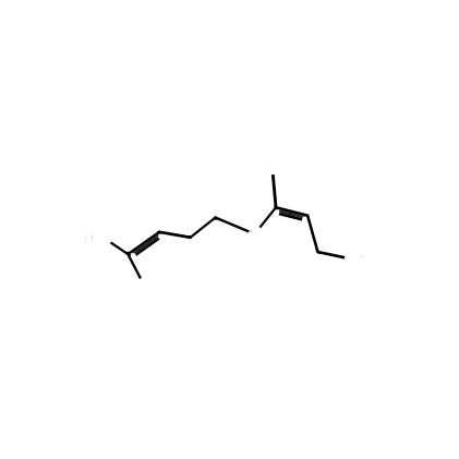 CC(=O)OCC=C(F)SCCC=C(C)C